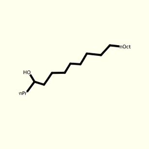 CC[CH]C(O)CCCCCCCCCCCCCCCC